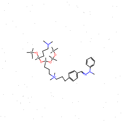 CN(C)CCC[Si](C)(O[Si](C)(C)C)O[Si](C)(CCC[N+](C)(C)CCCc1ccc(/C=N/N(C)c2ccccc2)cc1)O[Si](C)(C)O[Si](C)(C)C